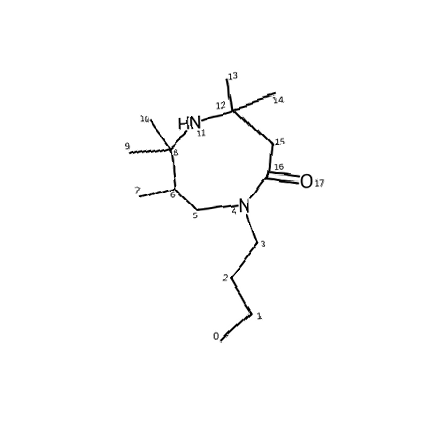 CCCCN1CC(C)C(C)(C)NC(C)(C)CC1=O